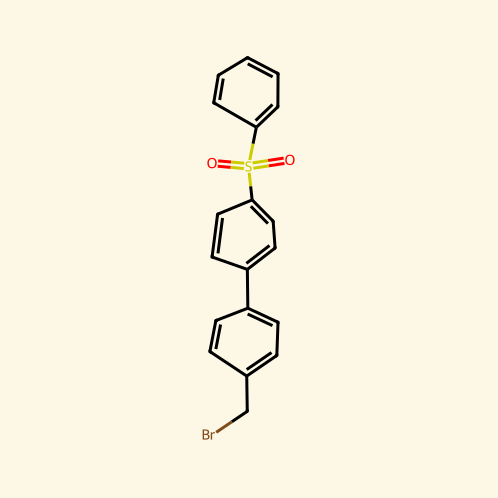 O=S(=O)(c1ccccc1)c1ccc(-c2ccc(CBr)cc2)cc1